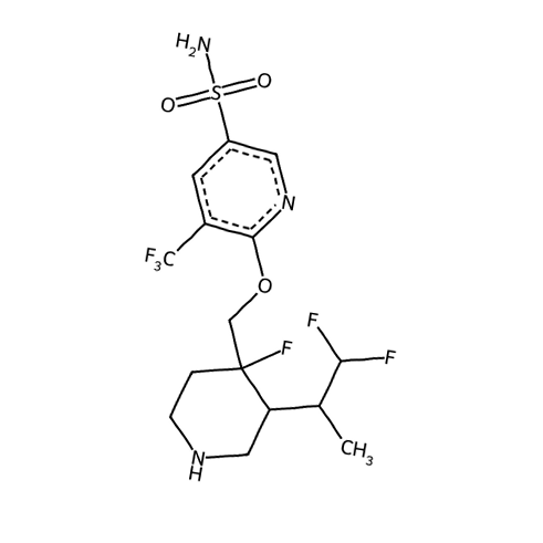 CC(C(F)F)C1CNCCC1(F)COc1ncc(S(N)(=O)=O)cc1C(F)(F)F